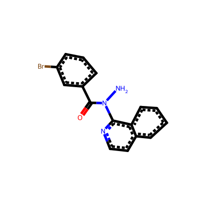 NN(C(=O)c1cccc(Br)c1)c1nccc2ccccc12